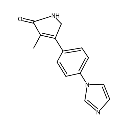 CC1=C(c2ccc(-n3ccnc3)cc2)CNC1=O